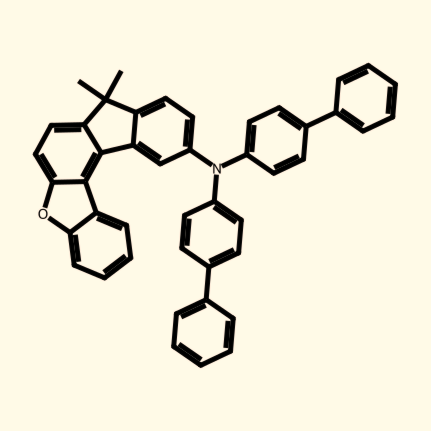 CC1(C)c2ccc(N(c3ccc(-c4ccccc4)cc3)c3ccc(-c4ccccc4)cc3)cc2-c2c1ccc1oc3ccccc3c21